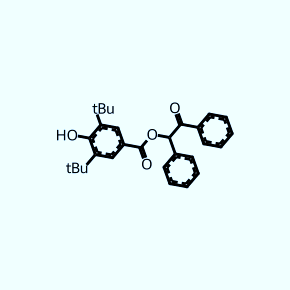 CC(C)(C)c1cc(C(=O)OC(C(=O)c2ccccc2)c2ccccc2)cc(C(C)(C)C)c1O